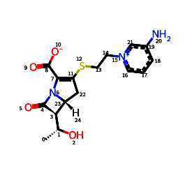 C[C@@H](O)[C@H]1C(=O)N2C(C(=O)[O-])=C(SCC[n+]3cccc(N)c3)C[C@H]12